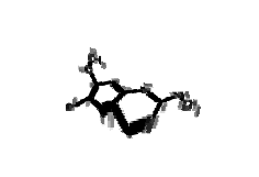 CNc1ncc2cc(Br)c(OC)cc2n1